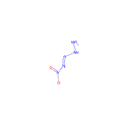 NNN=N[N+](=O)[O-]